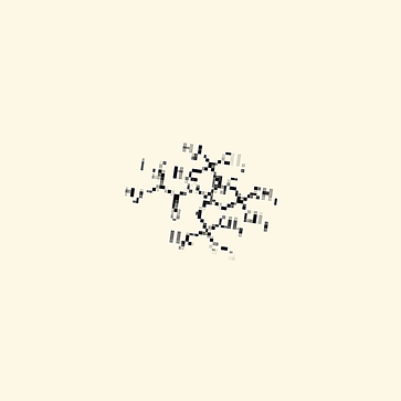 C=C(C)C(=O)O[Si](CC(C)(C)C)(CC(C)(C)C)CC(C)(C)C